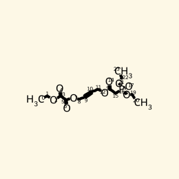 CCOC(=O)C(=O)OCC#CCOC(=O)CP(=O)(OCC)OCC